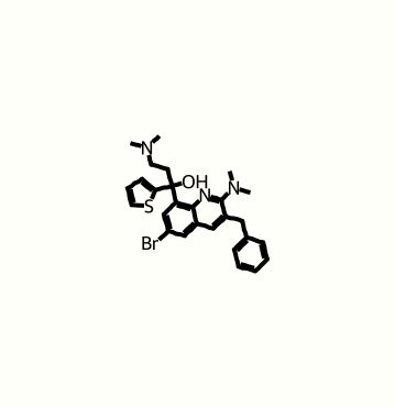 CN(C)CCC(O)(c1cccs1)c1cc(Br)cc2cc(Cc3ccccc3)c(N(C)C)nc12